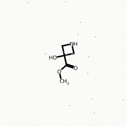 COC(=O)C1(O)CNC1